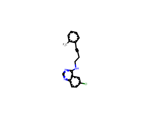 FC(F)(F)c1ccccc1C#CCCNc1ncnc2ccc(Cl)cc12